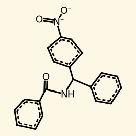 O=C(NC(c1ccccc1)c1ccc([N+](=O)[O-])cc1)c1ccccc1